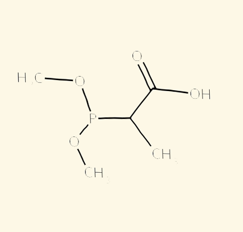 COP(OC)C(C)C(=O)O